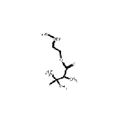 CC(C(=O)OCCNO)C(C)(C)I